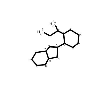 CCC(C)C1CCCCC1C1CC2CCCCC2C1